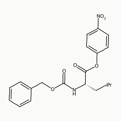 CC(C)C[C@H](NC(=O)OCc1ccccc1)C(=O)Oc1ccc([N+](=O)[O-])cc1